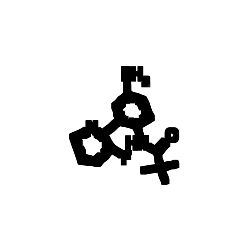 Bc1ccc(NC(=O)C(C)(C)C)c(-c2ncccc2F)c1